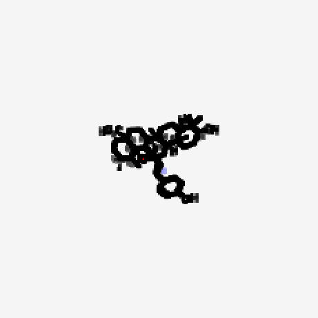 C[C@H]1[C@H](C)CC[C@]2(C(=O)O)CC[C@]3(CC(=O)/C=C/c4ccc(O)cc4)C(=CC[C@@H]4[C@@]5(C)CC[C@H](O)C(C)(C)[C@@H]5CC[C@]43C)[C@H]12